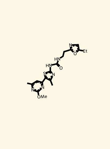 CCc1cnc(CCNC(=O)Nc2nc(C)c(-c3cc(C)nc(OC)n3)s2)o1